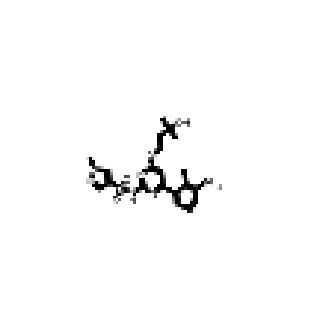 Cc1c(N)cccc1-c1cc(OCCC(C)(C)O)nc(NS(=O)(=O)c2cnn(C)c2)n1